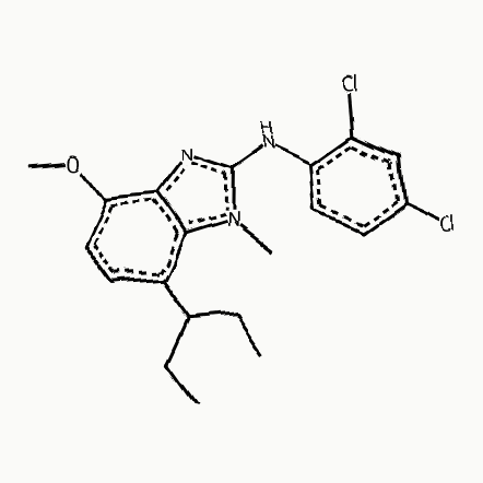 CCC(CC)c1ccc(OC)c2nc(Nc3ccc(Cl)cc3Cl)n(C)c12